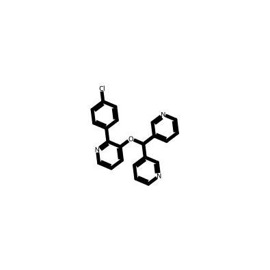 Clc1ccc(-c2ncccc2OC(c2cccnc2)c2cccnc2)cc1